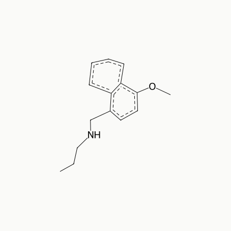 CCCNCc1ccc(OC)c2ccccc12